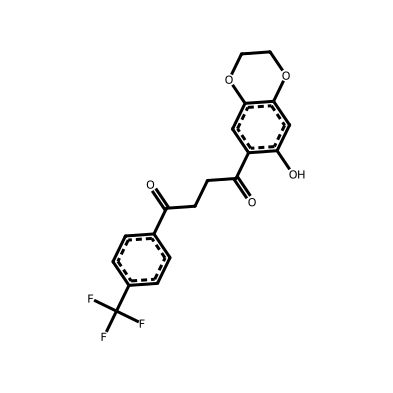 O=C(CCC(=O)c1cc2c(cc1O)OCCO2)c1ccc(C(F)(F)F)cc1